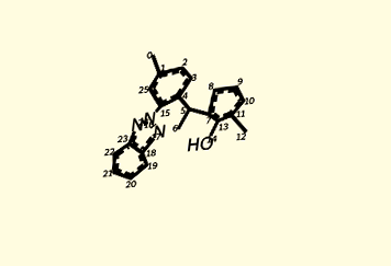 Cc1ccc(C(C)c2cccc(C)c2O)c(-n2nc3ccccc3n2)c1